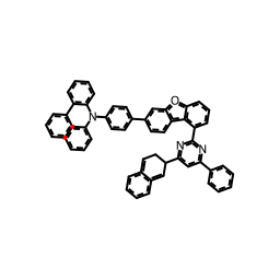 C1=c2ccccc2=CC(c2cc(-c3ccccc3)nc(-c3cccc4oc5cc(-c6ccc(N(c7ccccc7)c7ccccc7-c7ccccc7)cc6)ccc5c34)n2)C1